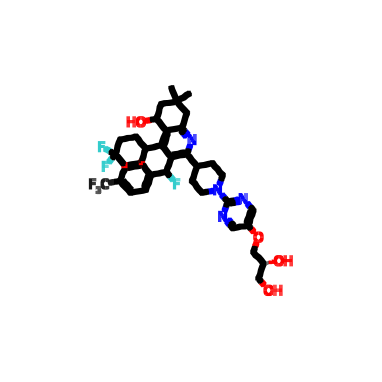 CC1(C)Cc2nc(C3CCN(c4ncc(OC[C@H](O)CO)cn4)CC3)c(C(F)c3ccc(C(F)(F)F)cc3)c(C3CCC(F)(F)CC3)c2C(O)C1